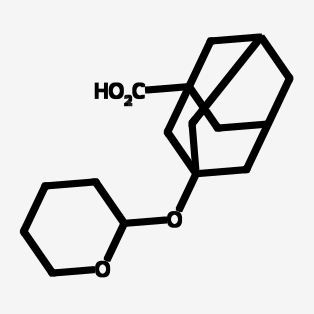 O=C(O)C12CC3CC(CC(OC4CCCCO4)(C3)C1)C2